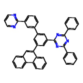 c1ccc(-c2nc(-c3ccccc3)nc(-c3cc(-c4cccc(-c5ncccn5)c4)cc(-c4cc5ccccc5c5ccccc45)c3)n2)cc1